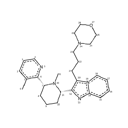 Cc1cccnc1[C@H]1CCC[C@@H](c2nc3ccccn3c2CCCN2CCOCC2)N1C